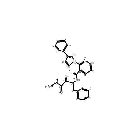 CCCNC(=O)C(=O)C(Cc1ccccc1)NC(=O)c1cccnc1-n1ccc(-c2ccccc2)n1